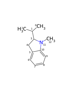 CC(C)C1Cc2ccccc2N1C